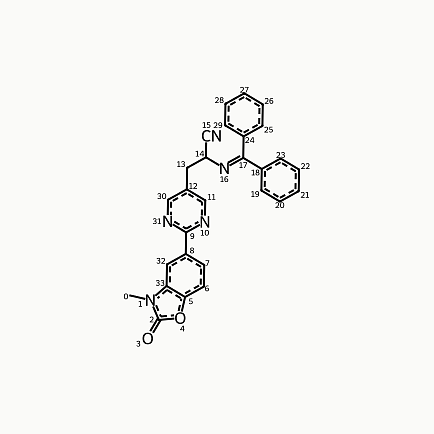 Cn1c(=O)oc2ccc(-c3ncc(CC(C#N)N=C(c4ccccc4)c4ccccc4)cn3)cc21